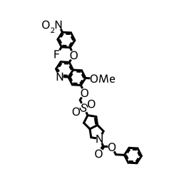 COc1cc2c(Oc3ccc([N+](=O)[O-])cc3F)ccnc2cc1OCS(=O)(=O)C1C=C2CN(C(=O)OCc3ccccc3)CC2C1